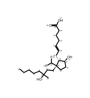 CCCCCC(C)(O)CC[C@]1([C](F)F)CC[C@H](O)[C@H]1CC=CCCCC(=O)O